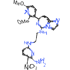 COc1ccc(-c2cc3nccn3c(NCCNc3ccc([N+](=O)[O-])c(N)n3)n2)c(OC)n1